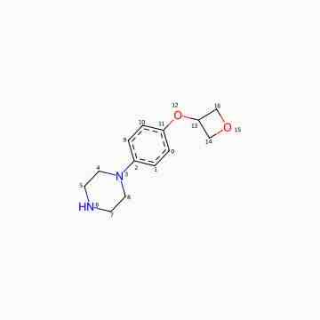 c1cc(N2CCNCC2)ccc1OC1COC1